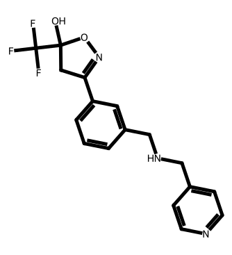 OC1(C(F)(F)F)CC(c2cccc(CNCc3ccncc3)c2)=NO1